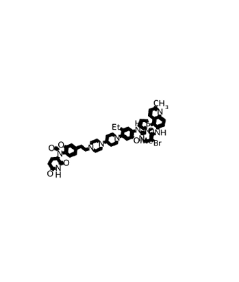 CCc1cc(Nc2ncc(Br)c(Nc3ccc4nc(C)ccc4c3P3(=O)CC=CC3)n2)c(OC)cc1N1CCC(N2CCN(CCc3ccc4c(c3)oc(=O)n4C3CCC(=O)NC3=O)CC2)CC1